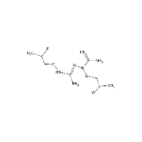 CC(F)CONC(N)=NN(OCC(C)Cl)C(=N)N